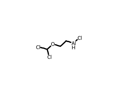 [Cl][AlH][CH2]COC(Cl)Cl